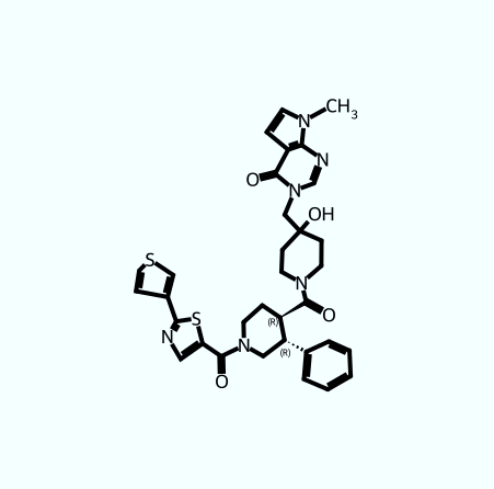 Cn1ccc2c(=O)n(CC3(O)CCN(C(=O)[C@@H]4CCN(C(=O)c5cnc(-c6ccsc6)s5)C[C@H]4c4ccccc4)CC3)cnc21